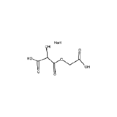 O=C(O)COC(=O)C(O)C(=O)O.[NaH]